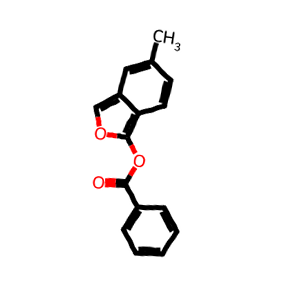 Cc1ccc2c(OC(=O)c3ccccc3)occ2c1